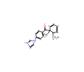 CC1(C(=O)c2ccc(-n3ccnc3)cc2)C=CC=CC1C(=O)O